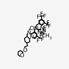 CCN(CC1CCC(CCOC2CCCCO2)CC1)c1ncc(C(F)(F)F)cc1CN(Cc1cc(C(F)(F)F)cc(C(F)(F)F)c1)c1nnn(C)n1